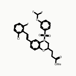 COC(=O)CCC1CN(S(=O)(=O)c2cccc(OC(F)F)c2)c2cc(C=Cc3c(F)cccc3Cl)ccc2O1